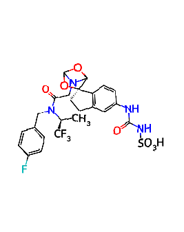 C[C@H](N(Cc1ccc(F)cc1)C(=O)CN1C2OC1[C@]1(CCc3cc(NC(=O)NS(=O)(=O)O)ccc31)O2)C(F)(F)F